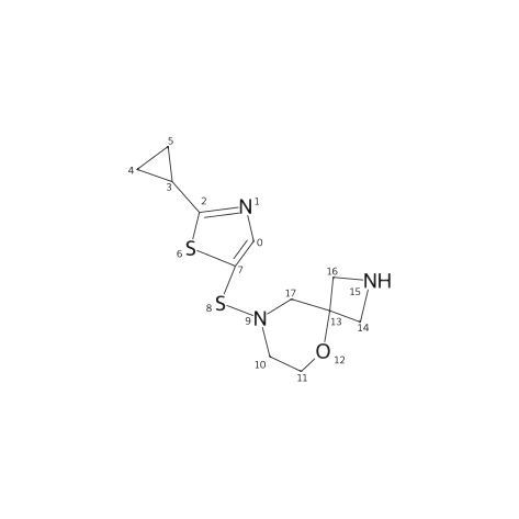 c1nc(C2CC2)sc1SN1CCOC2(CNC2)C1